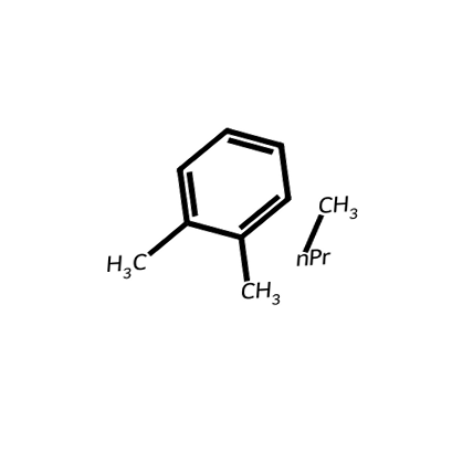 CCCC.Cc1ccccc1C